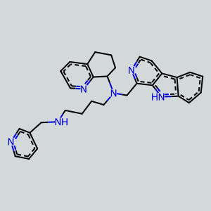 c1cncc(CNCCCCN(Cc2nccc3c2[nH]c2ccccc23)C2CCCc3cccnc32)c1